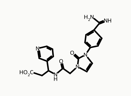 N=C(N)c1ccc(-n2ccn(CC(=O)NC(CC(=O)O)c3cccnc3)c2=O)cc1